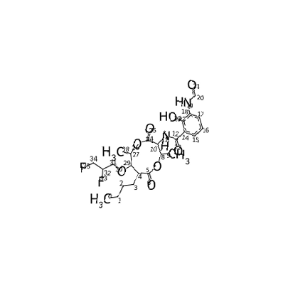 CCCCC1C(=O)OC(C)C(NC(=O)c2cccc(NC=O)c2O)C(=O)OC(C)C1OCC(F)CF